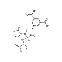 NP(=O)(NN1CCOC1=O)N(OCc1cc([N+](=O)[O-])cc([N+](=O)[O-])c1)N1CCOC1=O